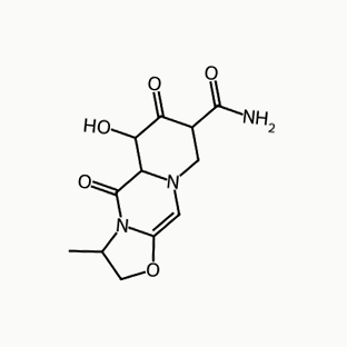 CC1COC2=CN3CC(C(N)=O)C(=O)C(O)C3C(=O)N21